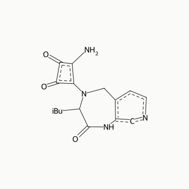 CCC(C)C1C(=O)Nc2cnccc2CN1c1c(N)c(=O)c1=O